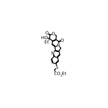 CCOC(=O)CSc1ccc2nc3c(cc2c1)Cn1c-3cc2c(c1=O)COC(=O)[C@]2(O)CC